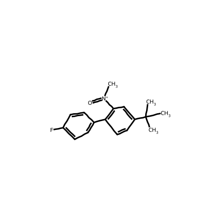 C[N+](=O)c1cc(C(C)(C)C)ccc1-c1ccc(F)cc1